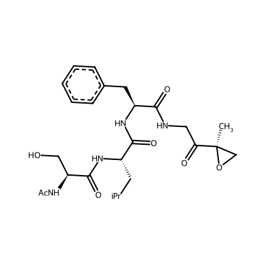 CC(=O)N[C@@H](CO)C(=O)N[C@@H](CC(C)C)C(=O)N[C@@H](Cc1ccccc1)C(=O)NCC(=O)[C@@]1(C)CO1